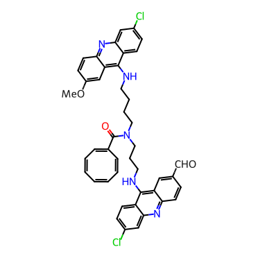 COc1ccc2nc3cc(Cl)ccc3c(NCCCCN(CCCNc3c4ccc(Cl)cc4nc4ccc(C=O)cc34)C(=O)C3=C/C=C\C=C/C=C\3)c2c1